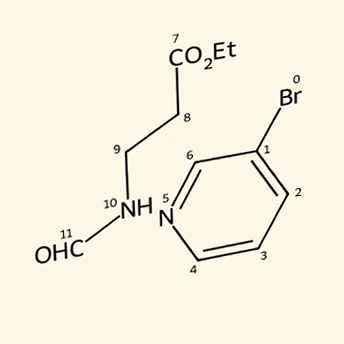 Brc1cccnc1.CCOC(=O)CCNC=O